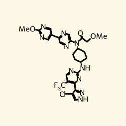 COCC(=O)N(c1cnc(-c2cnc(OC)nc2)cn1)[C@H]1CC[C@H](Nc2ncc(C(F)(F)F)c(-c3n[nH]cc3Cl)n2)CC1